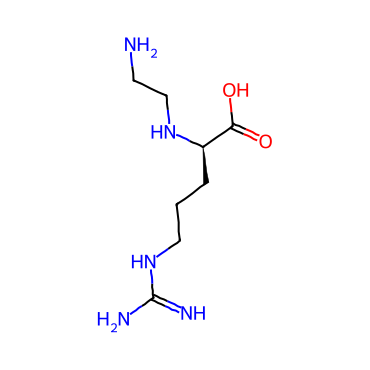 N=C(N)NCCC[C@@H](NCCN)C(=O)O